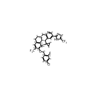 N#CC1(Cc2cc(-c3nnc(C(F)(F)F)[nH]3)cnc2CN2CCc3cc(C(F)(F)F)c(OCc4ccc(Cl)cc4F)nc3C2)CC1